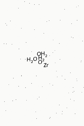 O.O.O.[Zr]